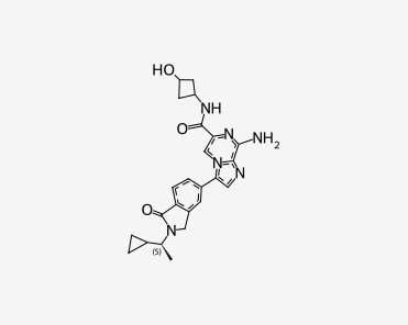 C[C@@H](C1CC1)N1Cc2cc(-c3cnc4c(N)nc(C(=O)NC5CC(O)C5)cn34)ccc2C1=O